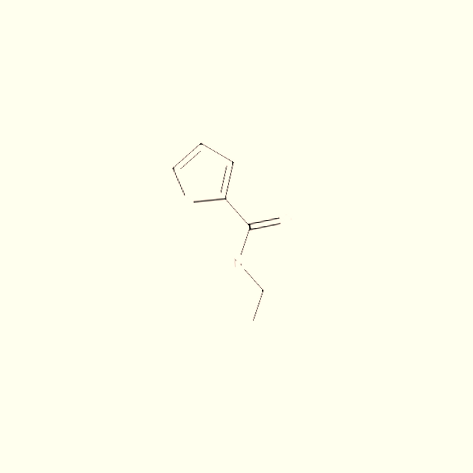 O=C(NCI)c1cccs1